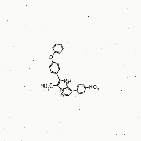 O=C(O)c1c(-c2ccc(Oc3ccccc3)cc2)[nH]c2c(-c3ccc([N+](=O)[O-])cc3)cnn12